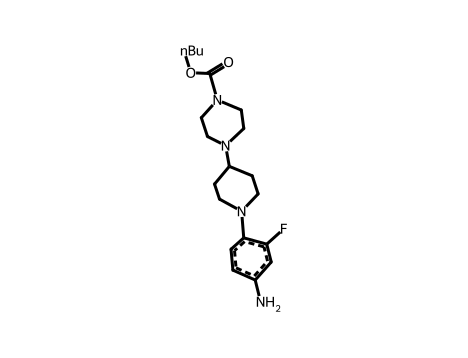 CCCCOC(=O)N1CCN(C2CCN(c3ccc(N)cc3F)CC2)CC1